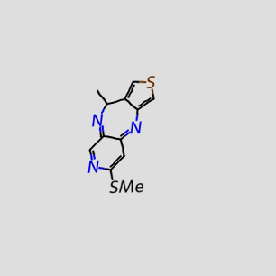 CSc1cc2c(cn1)=NC(C)c1cscc1N=2